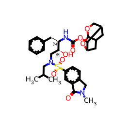 CC(C)CN(C[C@@H](O)[C@H](Cc1ccccc1)NC(=O)OC1C2COC3OC1CC3C2)S(=O)(=O)c1ccc2c(c1)C(=O)N(C)C2